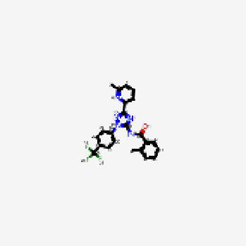 Cc1cccc(-c2nc(NC(=O)c3ccccc3C)n(-c3ccc(C(F)(F)F)cc3)n2)n1